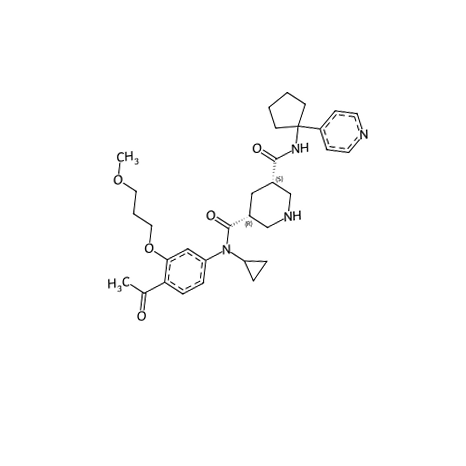 COCCCOc1cc(N(C(=O)[C@H]2CNC[C@@H](C(=O)NC3(c4ccncc4)CCCC3)C2)C2CC2)ccc1C(C)=O